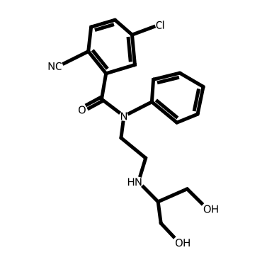 N#Cc1ccc(Cl)cc1C(=O)N(CCNC(CO)CO)c1ccccc1